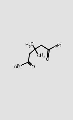 CCCC(=O)CC(C)(C)CC(=O)CCC